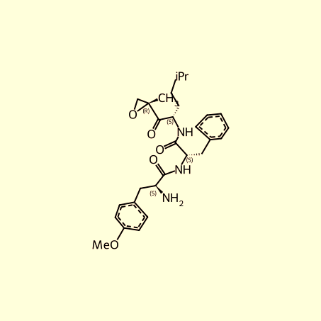 COc1ccc(C[C@H](N)C(=O)N[C@@H](Cc2ccccc2)C(=O)N[C@@H](CCC(C)C)C(=O)[C@@]2(C)CO2)cc1